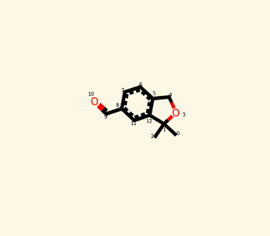 CC1(C)OCc2ccc(C=O)cc21